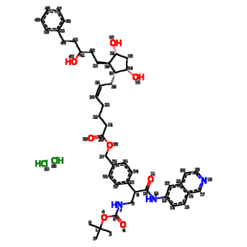 CC(C)(C)OC(=O)NCC(C(=O)Nc1ccc2cnccc2c1)c1ccc(COC(=O)CCC/C=C\C[C@@H]2[C@@H](CCC(O)CCc3ccccc3)[C@H](O)C[C@@H]2O)cc1.Cl.Cl